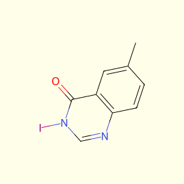 Cc1ccc2ncn(I)c(=O)c2c1